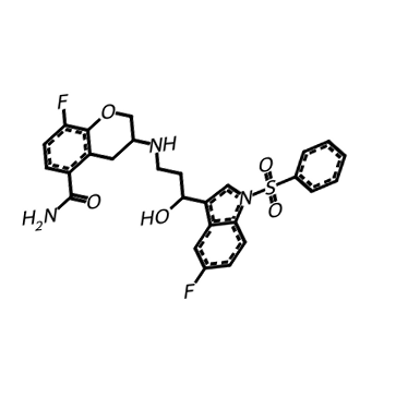 NC(=O)c1ccc(F)c2c1CC(NCCC(O)c1cn(S(=O)(=O)c3ccccc3)c3ccc(F)cc13)CO2